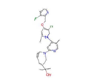 CC1=CC(OCc2ncccc2F)=C(Cl)CN1c1cc(N2C=CC=C(C(C)(C)O)C2)ncc1C